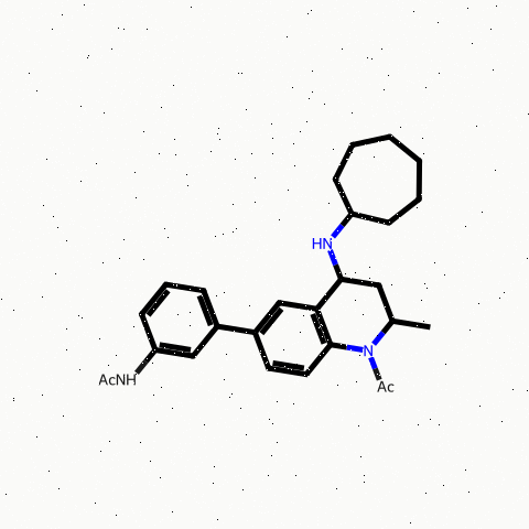 CC(=O)Nc1cccc(-c2ccc3c(c2)C(NC2CCCCCC2)CC(C)N3C(C)=O)c1